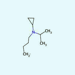 [CH2]CCCN(C(C)C)C1CC1